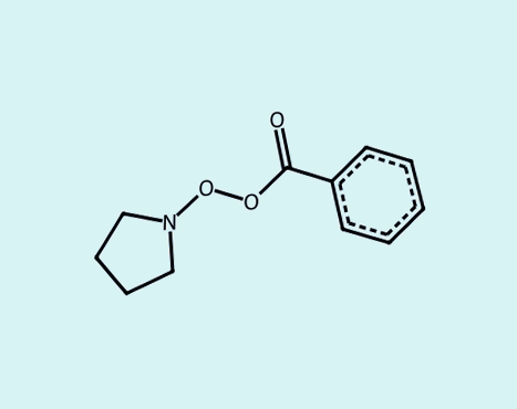 O=C(OON1CCCC1)c1ccccc1